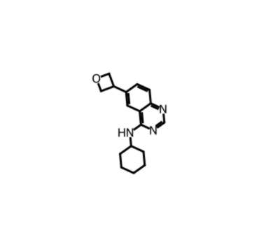 c1nc(NC2CCCCC2)c2cc(C3COC3)ccc2n1